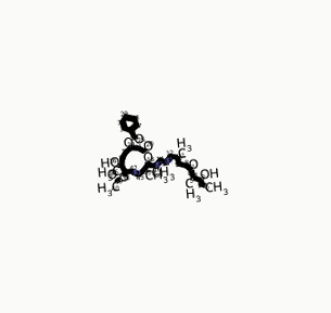 CCC(O)C(C)C1OC1CC(C)/C=C/C=C(\C)C1OC(=O)CC(OC(=O)c2ccccc2)CCC(C)(O)C(OC(C)=O)/C=C/C1C